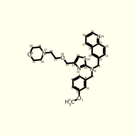 COc1cccc(CN(Cc2ccc3ncccc3c2)c2nc(COCCN3CCOCC3)cs2)c1